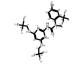 CN(C(=O)Nc1nc(OCC(F)(F)F)cc(OCC(F)(F)F)n1)c1ccc(Br)cc1C(C)(F)F